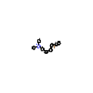 c1ccc(-c2nc(-c3ccccc3)nc(-c3ccc(-c4cccc(-c5cccc(-c6cccc7c6sc6cc8ccccc8cc67)c5)c4)cc3)n2)cc1